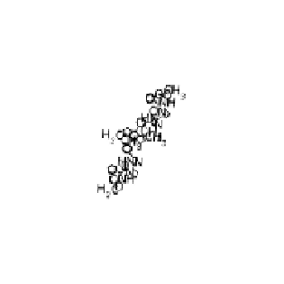 COC(=O)NC(C(=O)N1CCC[C@H]1c1ncc(-c2cccc(-c3c4c(c(-c5cccc(-c6cnc([C@@H]7CCCN7C(=O)C(NC(=O)OC)c7ccccc7)[nH]6)c5)c5c3C(C)(C)CC5)C(C)(C)CC4)c2)[nH]1)c1ccccc1